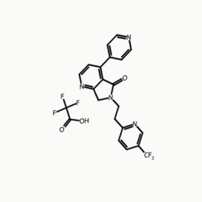 O=C(O)C(F)(F)F.O=C1c2c(-c3ccncc3)ccnc2CN1CCc1ccc(C(F)(F)F)cn1